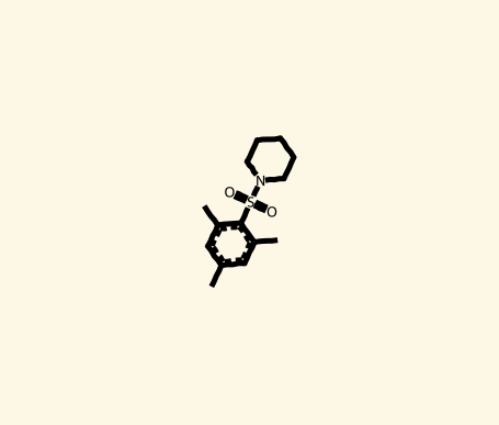 Cc1cc(C)c(S(=O)(=O)N2CCCCC2)c(C)c1